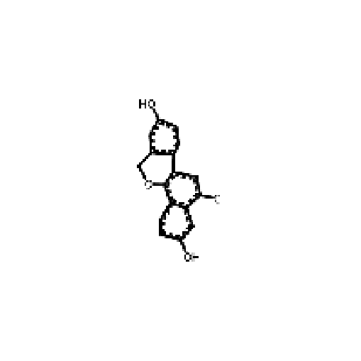 Oc1ccc2c(c1)COc1c-2cc(Cl)c2cc(O)ccc12